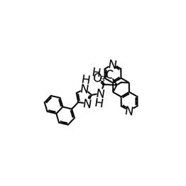 CC1(C(=O)Nc2nc(-c3cccc4ccccc34)c[nH]2)CC2c3cnccc3C1c1cnccc12